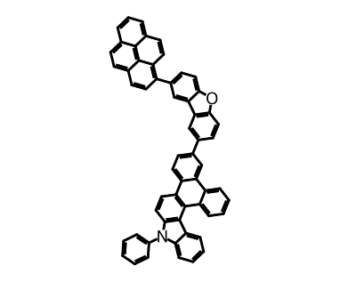 c1ccc(-n2c3ccccc3c3c4c5ccccc5c5cc(-c6ccc7oc8ccc(-c9ccc%10ccc%11cccc%12ccc9c%10c%11%12)cc8c7c6)ccc5c4ccc32)cc1